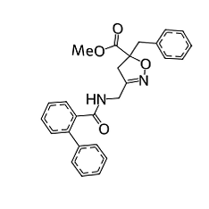 COC(=O)C1(Cc2ccccc2)CC(CNC(=O)c2ccccc2-c2ccccc2)=NO1